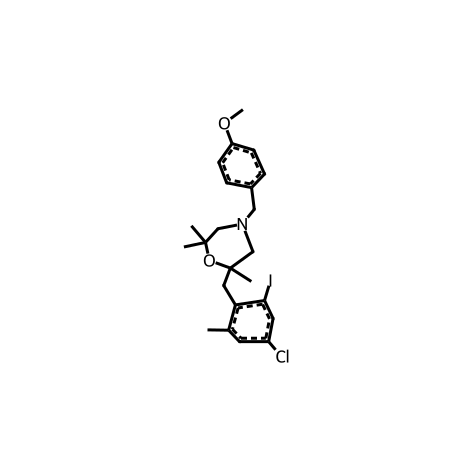 COc1ccc(CN2CC(C)(C)OC(C)(Cc3c(C)cc(Cl)cc3I)C2)cc1